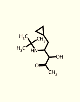 CC(=O)C(O)C(CC1CC1)NC(C)(C)C